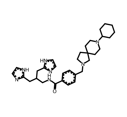 O=C(NCC(Cc1ncc[nH]1)Cc1ncc[nH]1)c1ccc(CN2CCC3(CCN(C4CCCCC4)CC3)C2)cc1